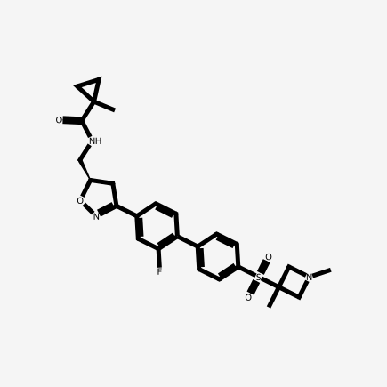 CN1CC(C)(S(=O)(=O)c2ccc(-c3ccc(C4=NO[C@@H](CNC(=O)C5(C)CC5)C4)cc3F)cc2)C1